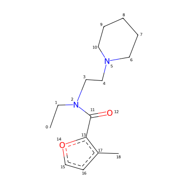 CCN(CCN1CCCCC1)C(=O)c1occc1C